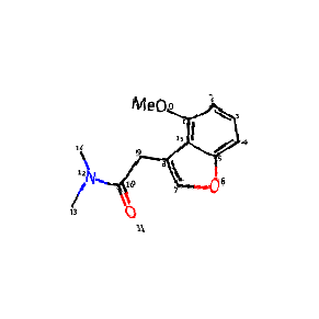 COc1cccc2occ(CC(=O)N(C)C)c12